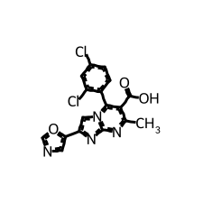 Cc1nc2nc(-c3cnco3)cn2c(-c2ccc(Cl)cc2Cl)c1C(=O)O